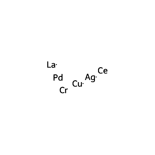 [Ag].[Ce].[Cr].[Cu].[La].[Pd]